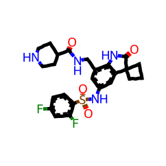 O=C(NCc1cc(NS(=O)(=O)c2ccc(F)cc2F)cc2c1NC(=O)C21CCC1)C1CCNCC1